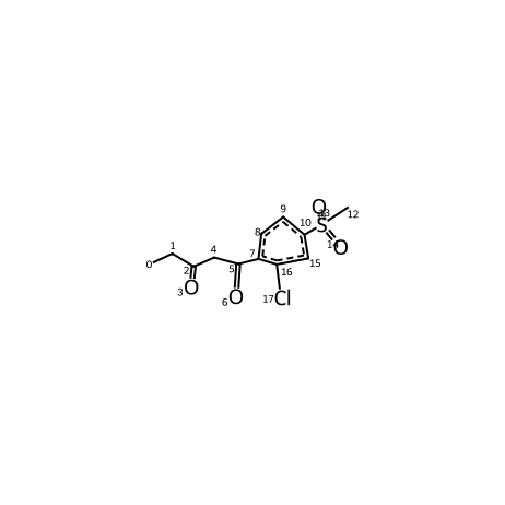 CCC(=O)CC(=O)c1ccc(S(C)(=O)=O)cc1Cl